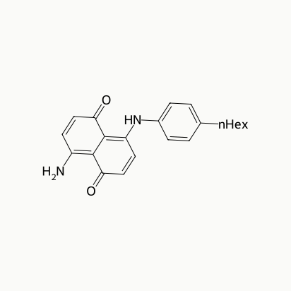 CCCCCCc1ccc(NC2=C3C(=O)C=CC(N)=C3C(=O)C=C2)cc1